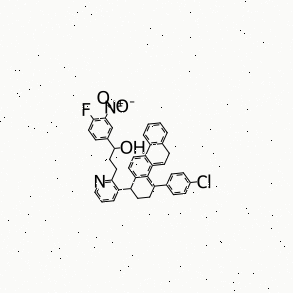 O=[N+]([O-])c1cc(C(O)CCc2ncccc2C2CCC(c3ccc(Cl)cc3)=c3c2ccc2c3=CCc3ccccc3-2)ccc1F